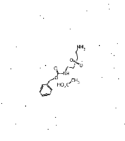 CC(=O)O.NCCS(=O)(=O)CCNC(=O)OCc1ccccc1